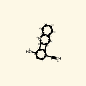 C#Cc1ccc(O)c2c1-c1cc3ccccc3nc1-2